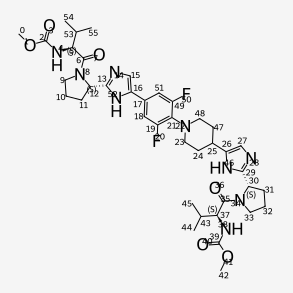 COC(=O)N[C@H](C(=O)N1CCC[C@H]1c1ncc(-c2cc(F)c(N3CCC(c4cnc([C@@H]5CCCN5C(=O)[C@@H](NC(=O)OC)C(C)C)[nH]4)CC3)c(F)c2)[nH]1)C(C)C